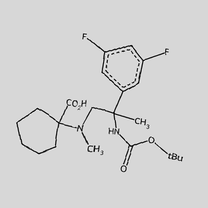 CN(CC(C)(NC(=O)OC(C)(C)C)c1cc(F)cc(F)c1)C1(C(=O)O)CCCCC1